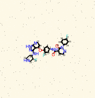 O=C(Nc1ccc(Oc2ccnc3[nH]nc(NC4CCNC[C@@H]4F)c23)c(F)c1)c1ccnn(-c2ccc(F)cc2)c1=O